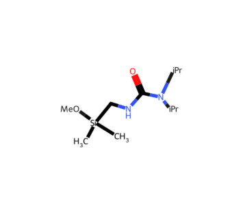 CO[Si](C)(C)CNC(=O)N(C(C)C)C(C)C